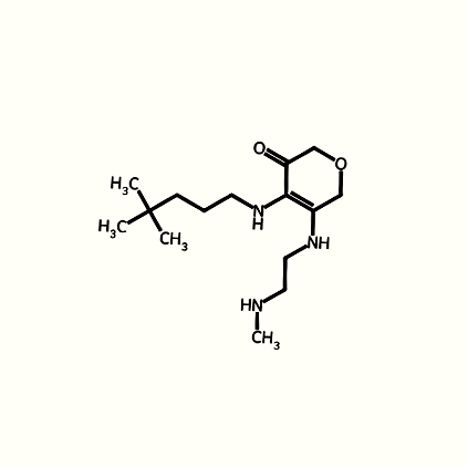 CNCCNC1=C(NCCCC(C)(C)C)C(=O)COC1